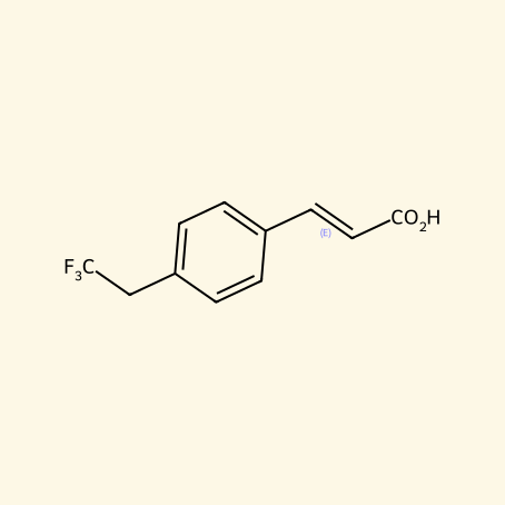 O=C(O)/C=C/c1ccc(CC(F)(F)F)cc1